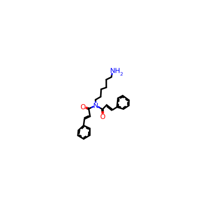 NCCCCCCN(C(=O)C=Cc1ccccc1)C(=O)C=Cc1ccccc1